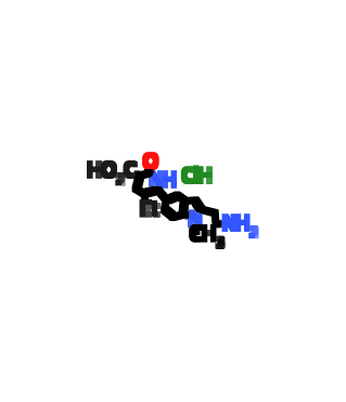 CCc1cc(C(=O)O)c(=O)[nH]c1-c1ccc2c(c1)cc(CCN)n2C.Cl